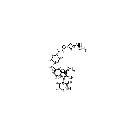 CN[C@H]1C[C@H](OCCN2CCN(Cc3ccc4c(c3)n(C)c(=O)n4C3CCCNC3=O)CC2)C1